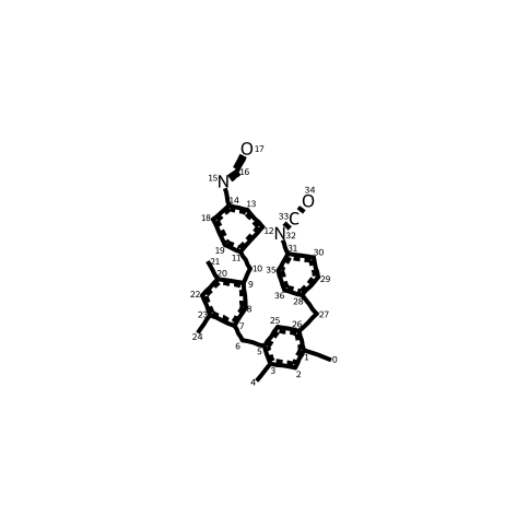 Cc1cc(C)c(Cc2cc(Cc3ccc(N=C=O)cc3)c(C)cc2C)cc1Cc1ccc(N=C=O)cc1